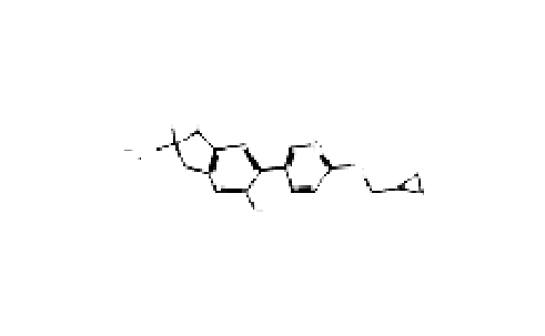 CC1(C)[CH]c2cc(F)c(-c3ccc(OCC4CC4)nc3)cc2C1